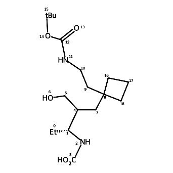 CC[C@@H](NC(=O)O)C(CO)CC1(CCNC(=O)OC(C)(C)C)CCC1